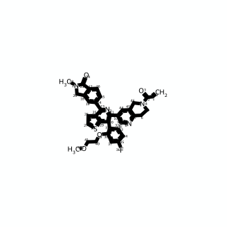 C=CC(=O)N1CCc2ncc(-c3nc(-c4ccc5c(c4)CN(C)C5=O)c4ccsc4c3-c3c(F)cc(F)cc3OCCOC)cc2C1